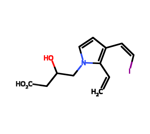 C=Cc1c(/C=C\I)ccn1CC(O)CC(=O)O